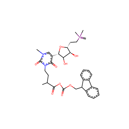 C=P(C)(C)CC[C@H]1O[C@@H](c2cn(C)c(=O)n(CCC(C)C(=O)OC(=O)OCC3c4ccccc4-c4ccccc43)c2=O)C(O)[C@@H]1O